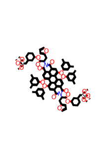 CO[Si](CC1CCCC(OC(=O)C(Cc2ccco2)N2C(=O)c3cc(Oc4cc(C)cc(C)c4)c4c5c(Oc6cc(C)cc(C)c6)cc6c7c(cc(Oc8cc(C)cc(C)c8)c(c8c(Oc9cc(C)cc(C)c9)cc(c3c48)C2=O)c75)C(=O)N(C(Cc2ccco2)C(=O)OC2CCCC(C[Si](OC)(OC)OC)C2)C6=O)C1)(OC)OC